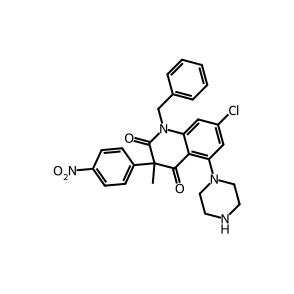 CC1(c2ccc([N+](=O)[O-])cc2)C(=O)c2c(N3CCNCC3)cc(Cl)cc2N(Cc2ccccc2)C1=O